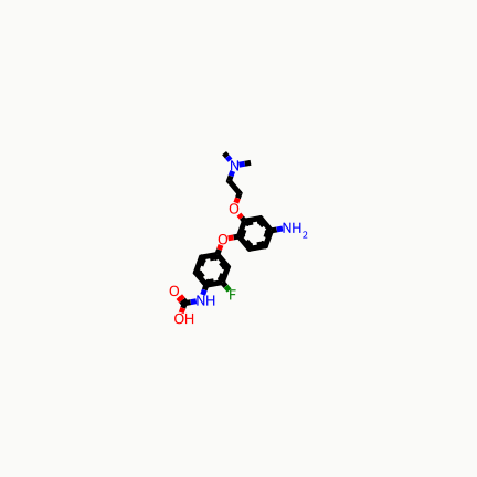 CN(C)CCOc1cc(N)ccc1Oc1ccc(NC(=O)O)c(F)c1